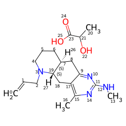 C=CCN1CCC[C@H]2Cc3nc(NC)nc(C)c3C[C@@H]21.CC(O)C(=O)O